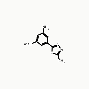 COc1cc(N)cc(-c2nnc(C)o2)c1